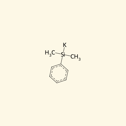 C[Si](C)([K])c1ccccc1